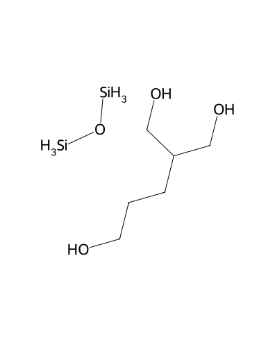 OCCCC(CO)CO.[SiH3]O[SiH3]